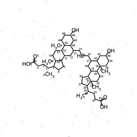 C[C@H](CCC(=O)O)C1CCC2C3CC(CBCC4CC5C(CC[C@@]6(C)C5CCC6[C@H](C)CCC(=O)O)[C@@]5(C)CCC(O)CC45)C4CC(O)CC[C@]4(C)C3CC[C@@]21C